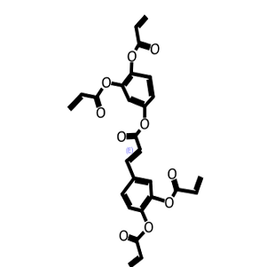 C=CC(=O)Oc1ccc(/C=C/C(=O)Oc2ccc(OC(=O)C=C)c(OC(=O)C=C)c2)cc1OC(=O)C=C